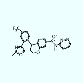 Cc1nc(-c2cc(C(F)(F)F)ccc2C2CCOc3cc([S+]([O-])Nc4cccnn4)ccc32)co1